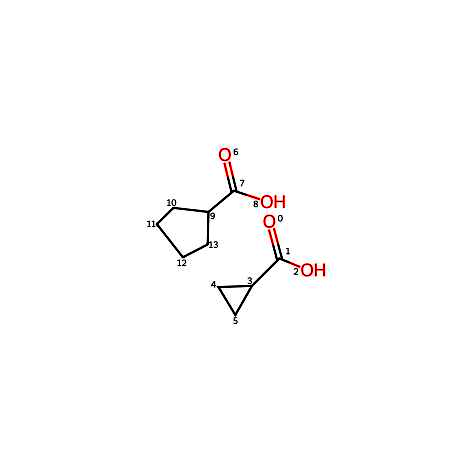 O=C(O)C1CC1.O=C(O)C1CCCC1